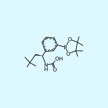 CC(C)(C)C[C@H](NC(=O)O)c1cccc(B2OC(C)(C)C(C)(C)O2)c1